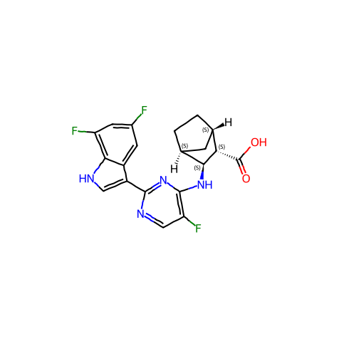 O=C(O)[C@H]1[C@H]2CC[C@@H](C2)[C@@H]1Nc1nc(-c2c[nH]c3c(F)cc(F)cc23)ncc1F